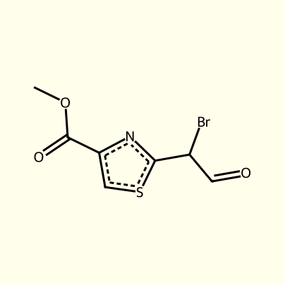 COC(=O)c1csc(C(Br)C=O)n1